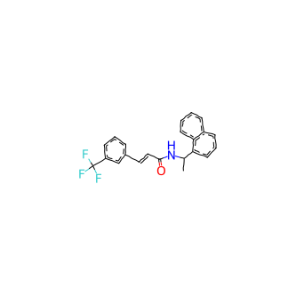 CC(NC(=O)C=Cc1cccc(C(F)(F)F)c1)c1cccc2ccccc12